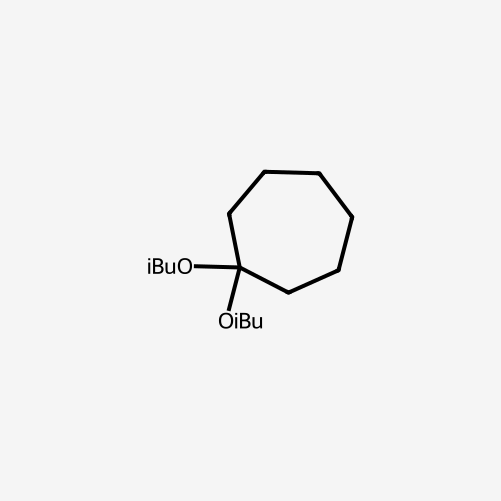 CC(C)COC1(OCC(C)C)CCCCCC1